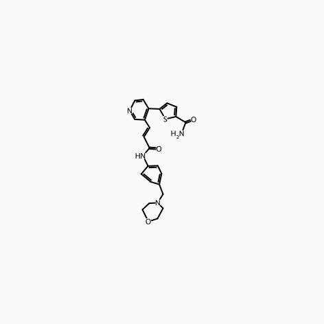 NC(=O)c1ccc(-c2ccncc2/C=C/C(=O)Nc2ccc(CN3CCOCC3)cc2)s1